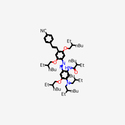 CCCCC(CC)COc1cc(N=Nc2cc(OCC(CC)CCCC)c(N(CC(CC)CCCC)CC(CC)CCCC)cc2NC(=O)C(CC)CCCC)c(OCC(CC)CCCC)cc1C=Cc1ccc(C#N)cc1